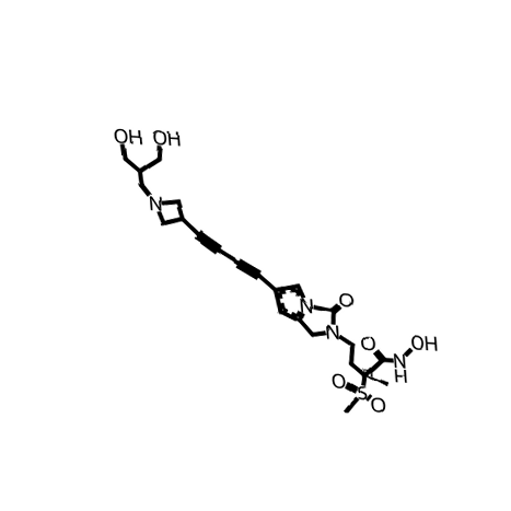 C[C@@](CCN1Cc2cc(C#CC#CC3CN(CC(CO)CO)C3)cn2C1=O)(C(=O)NO)S(C)(=O)=O